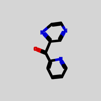 O=C(c1ccccn1)c1cnccn1